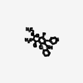 C=C(C(=O)OCC)C(=O)c1cc(F)c(-c2ccncc2)c(Nc2ccccc2)c1Cl